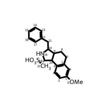 COc1ccc2c(c1)CCC1C(Cc3ccccc3)NCC21.CS(=O)(=O)O